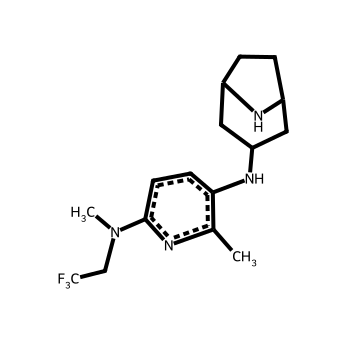 Cc1nc(N(C)CC(F)(F)F)ccc1NC1CC2CCC(C1)N2